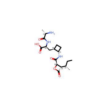 CC[C@H](C)[C@@H]1C(=O)O[C@H]1C(=O)N[C@H]1CC[C@@H]1C[C@H](NC(=O)[C@H](C)N)C(=O)O